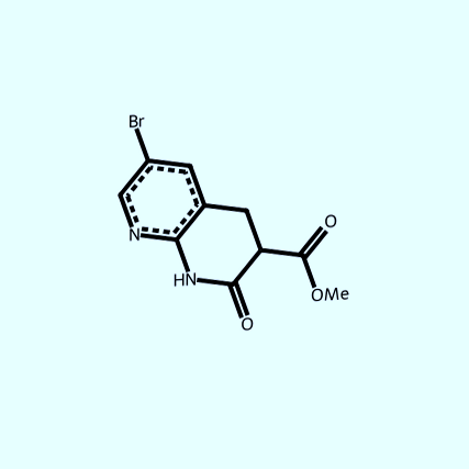 COC(=O)C1Cc2cc(Br)cnc2NC1=O